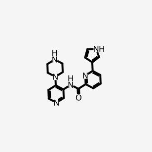 O=C(Nc1cnccc1N1CCNCC1)c1cccc(-c2cc[nH]c2)n1